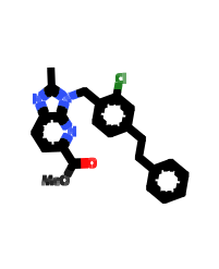 COC(=O)c1ccc2nc(C)n(Cc3ccc(CCc4ccccc4)cc3Cl)c2n1